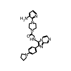 Nc1cccnc1N1CCN(C(=O)CNc2c(-c3ccc(N4CCCC4)cc3)nc3cnccn23)CC1